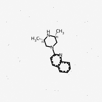 C[C@@H]1CN(c2ccc3ccccc3n2)C[C@H](C)N1